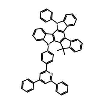 CC1(C)c2ccccc2-c2c1c1c(c3ccccc3n1-c1ccc(-c3cc(-c4ccccc4)cc(-c4ccccc4)n3)cc1)c1c2c2ccccc2n1-c1ccccc1